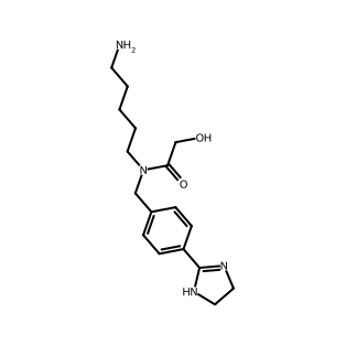 NCCCCCN(Cc1ccc(C2=NCCN2)cc1)C(=O)CO